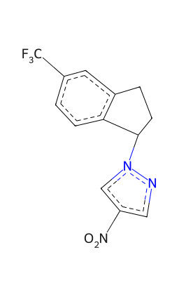 O=[N+]([O-])c1cnn(C2CCc3cc(C(F)(F)F)ccc32)c1